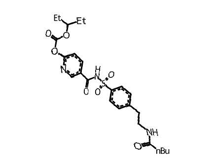 CCCCC(=O)NCCc1ccc(S(=O)(=O)NC(=O)c2ccc(OC(=O)OC(CC)CC)nc2)cc1